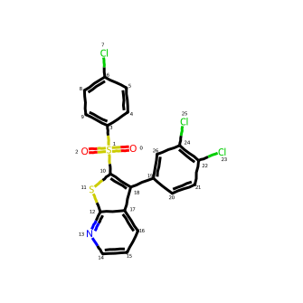 O=S(=O)(c1ccc(Cl)cc1)c1sc2ncccc2c1-c1ccc(Cl)c(Cl)c1